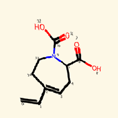 C=CC1=CCC(C(=O)O)N(C(=O)O)CC1